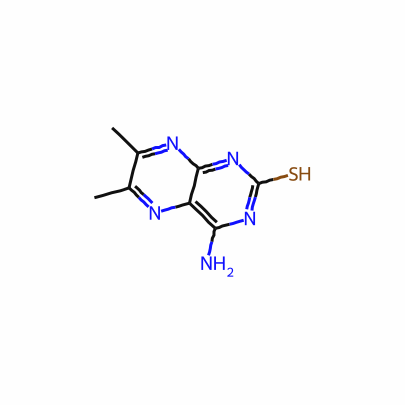 Cc1nc2nc(S)nc(N)c2nc1C